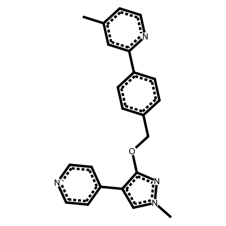 Cc1ccnc(-c2ccc(COc3nn(C)cc3-c3ccncc3)cc2)c1